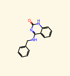 O=c1nc(NCc2ccccc2)c2ccccc2[nH]1